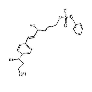 CCN(CCO)c1ccc(/C=C/C(O)CCCOS(=O)(=O)Oc2ccccc2)cc1